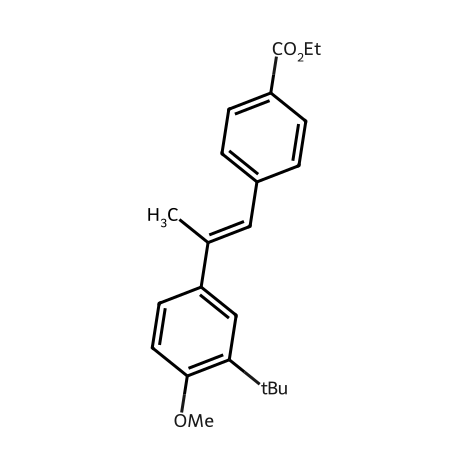 CCOC(=O)c1ccc(/C=C(\C)c2ccc(OC)c(C(C)(C)C)c2)cc1